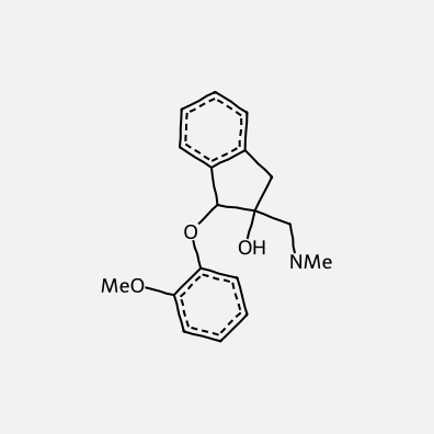 CNCC1(O)Cc2ccccc2C1Oc1ccccc1OC